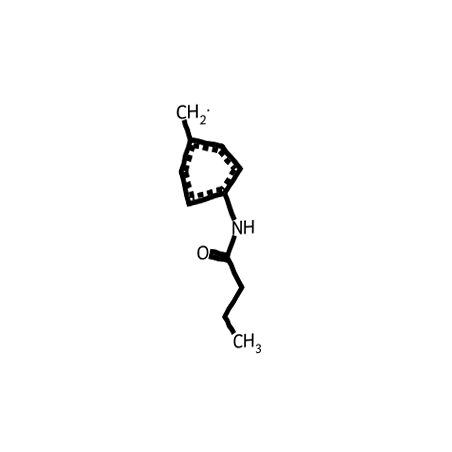 [CH2]c1ccc(NC(=O)CCC)cc1